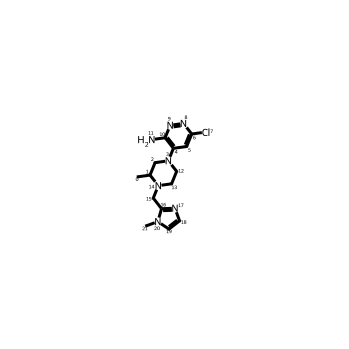 CC1CN(c2cc(Cl)nnc2N)CCN1Cc1nccn1C